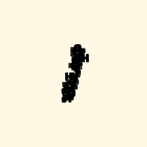 OC1(CN2CC3C(CNCc4cccc(OC(F)(F)F)c4)C3C2)CCOCC1